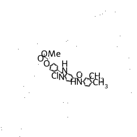 COC(=O)COc1ccc(-c2nc3ccc(C(=O)Nc4ccc(C)c(C)c4)cc3[nH]2)c(Cl)c1